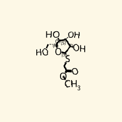 COC(=O)CS[C@@H]1O[C@H](CO)[C@@H](O)[C@H](O)[C@H]1O